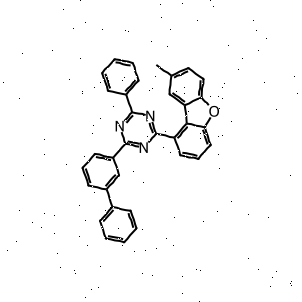 Cc1ccc2oc3cccc(-c4nc(-c5ccccc5)nc(-c5cccc(-c6ccccc6)c5)n4)c3c2c1